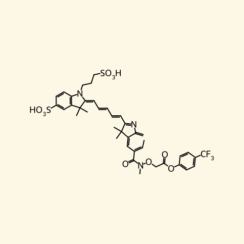 C=C1N=C(/C=C/C=C/C=C2/N(CCCS(=O)(=O)O)c3ccc(S(=O)(=O)O)cc3C2(C)C)C(C)(C)/C1=C/C(=C\C)C(=O)N(C)OCC(=O)Oc1ccc(C(F)(F)F)cc1